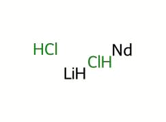 Cl.Cl.[LiH].[Nd]